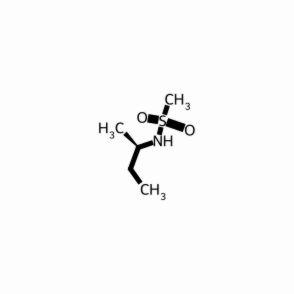 CC[C@@H](C)NS(C)(=O)=O